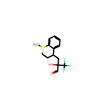 C[SH]1CCC(CC(O)(C=O)C(F)(F)F)c2ccccc21